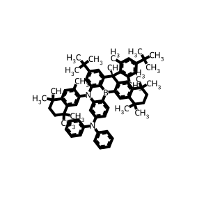 Cc1cc2c(cc1N1c3cc(N(c4ccccc4)c4ccccc4)ccc3B3c4cc5c(cc4[C@@](C)(c4c(C)cc(C(C)(C)C)cc4C)c4cc(C(C)(C)C)cc1c43)C(C)(C)CCC5(C)C)C(C)(C)CCC2(C)C